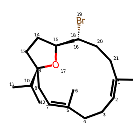 C/C1=C/CC/C(C)=C/C[C@]2(C(C)C)CC[C@@](C)(O2)[C@H](Br)CC1